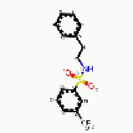 O=S(=O)(NCCc1ccccc1)c1cccc(C(F)(F)F)c1